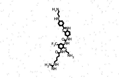 N=C(N)NCCCCC(=O)Nc1cc(C(F)(F)F)cc(NC(=O)Nc2ccc3c(c2)SC(c2ccc(NCCCN)cc2)N3)c1SCCN